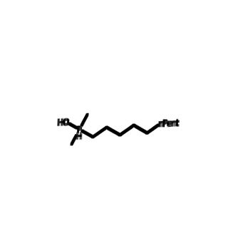 CCCCCCCCCC[PH](C)(C)O